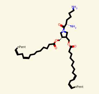 CCCCC/C=C\C/C=C\CCCCCCCC(=O)OCC1CN(C(=O)[C@@H](N)CCCCN)C[C@H]1COC(=O)CCCCCCC/C=C\C/C=C\CCCCC